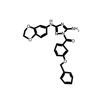 Nc1nc(Nc2ccc3c(c2)OCCO3)nn1C(=O)c1cccc(OCc2ccccc2)c1